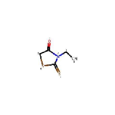 N#CCN1C(=O)CSC1=S